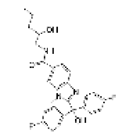 CCCC(O)CNC(=O)c1ccc2nc(C(O)(c3ccc(F)cc3)c3ccc(F)cc3)n(C)c2c1